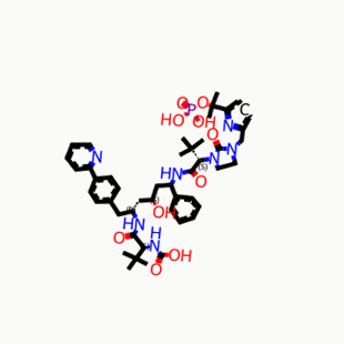 CC(C)(OP(=O)(O)O)c1cccc(CN2CCN([C@H](C(=O)NC(C[C@@H](O)C[C@@H](Cc3ccc(-c4ccccn4)cc3)NC(=O)[C@@H](NC(=O)O)C(C)(C)C)c3ccccc3)C(C)(C)C)C2=O)n1